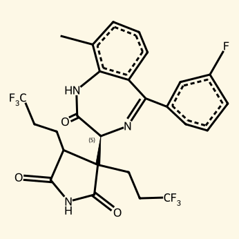 Cc1cccc2c1NC(=O)[C@H](C1(CCC(F)(F)F)C(=O)NC(=O)C1CCC(F)(F)F)N=C2c1cccc(F)c1